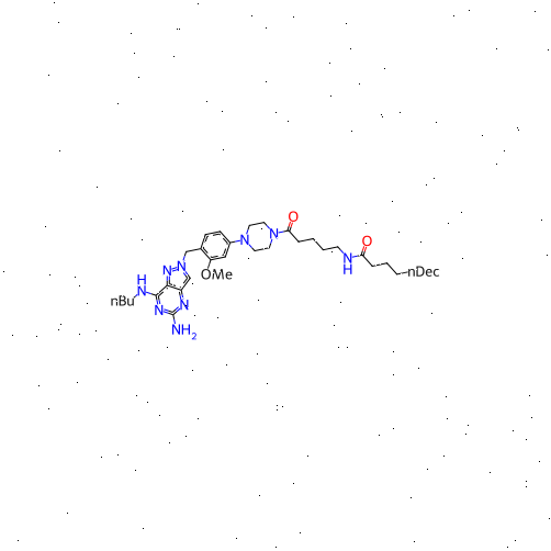 CCCCCCCCCCCCCC(=O)NCCCCC(=O)N1CCN(c2ccc(Cn3cc4nc(N)nc(NCCCC)c4n3)c(OC)c2)CC1